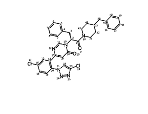 O=C([C@H](Cc1ccccc1)n1cnc(-c2cc(Cl)ccc2-n2cc(Cl)nn2)cc1=O)N1CCC(Cc2ccccc2)CC1